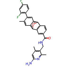 Cc1cc2c(cc1-c1ccc(F)cc1F)c1oc2c2cc(C(=O)NCc3c(C)cc(N)nc3C)ccc21